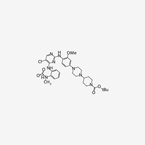 COc1cc(N2CCN(C3CCN(C(=O)OC(C)(C)C)CC3)CC2)ccc1Nc1ncc(Cl)c(Nc2ccccc2N(C)[SH](=O)=O)n1